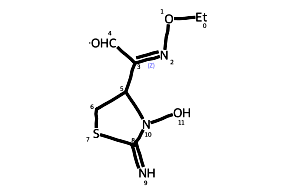 CCO/N=C(\[C]=O)C1CSC(=N)N1O